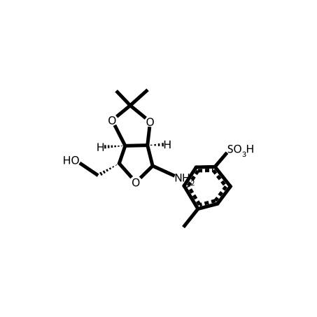 CC1(C)O[C@@H]2[C@@H](CO)OC(N)[C@@H]2O1.Cc1ccc(S(=O)(=O)O)cc1